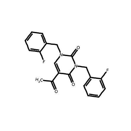 CC(=O)c1cn(Cc2ccccc2F)c(=O)n(Cc2ccccc2F)c1=O